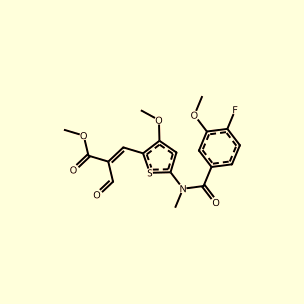 COC(=O)/C(C=O)=C/c1sc(N(C)C(=O)c2ccc(F)c(OC)c2)cc1OC